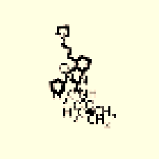 C[C@H](NC(=O)OC(C)(C)C)c1nc2cccc(CCCN3CCCC3)c2c(=O)n1-c1ccccc1